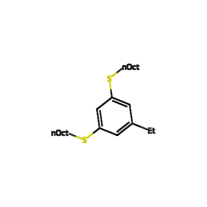 [CH2]Cc1cc(SCCCCCCCC)cc(SCCCCCCCC)c1